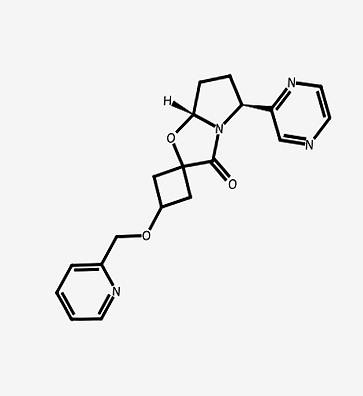 O=C1N2[C@@H](CC[C@H]2c2cnccn2)OC12CC(OCc1ccccn1)C2